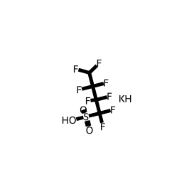 O=S(=O)(O)C(F)(F)C(F)(F)C(F)(F)C(F)F.[KH]